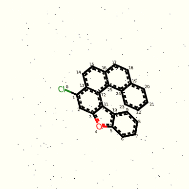 Clc1cc2oc3ccccc3c2c2c1ccc1ccc3ccccc3c12